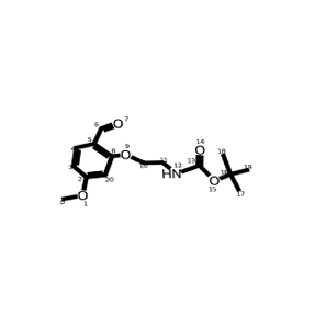 COc1ccc(C=O)c(OCCNC(=O)OC(C)(C)C)c1